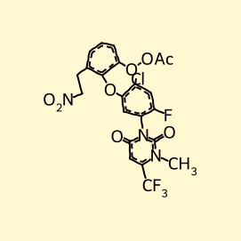 CC(=O)OOc1cccc(CC[N+](=O)[O-])c1Oc1cc(-n2c(=O)cc(C(F)(F)F)n(C)c2=O)c(F)cc1Cl